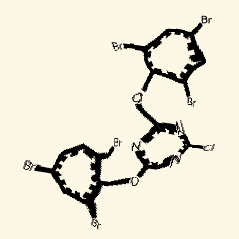 Clc1nc(Oc2c(Br)cc(Br)cc2Br)nc(Oc2c(Br)cc(Br)cc2Br)n1